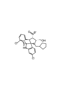 O=C1Nc2cc(Cl)ccc2[C@@]12[C@@H](c1cccc(Cl)c1F)[C@H]([N+](=O)[O-])[C@H](CO)N2CC1CCCC1